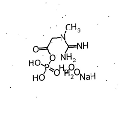 CN(CC(=O)OP(=O)(O)O)C(=N)N.O.O.[NaH]